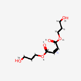 O=C(/C=C\C(=O)OCCCO)OCCCO